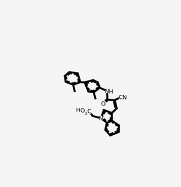 Cc1cc(-c2ccccc2C)ccc1NC(=O)C(C#N)=Cc1cn(CC(=O)O)c2ccccc12